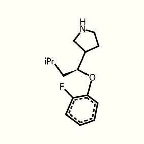 CC(C)C[C@H](Oc1ccccc1F)C1CCNC1